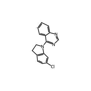 Clc1ccc2c(c1)N(c1ncnc3cc[c]cc13)CC2